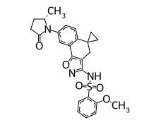 COc1ccccc1S(=O)(=O)Nc1noc2c1CC1(CC1)c1ccc(N3C(=O)CC[C@@H]3C)cc1-2